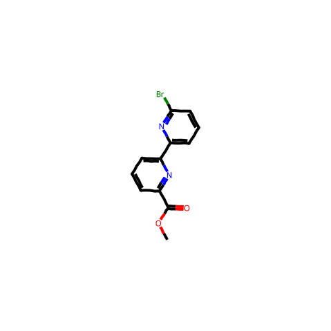 COC(=O)c1cccc(-c2cccc(Br)n2)n1